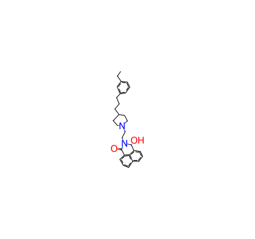 CCc1cccc(CCCC2CCN(CCN3C(=O)c4cccc5cccc(c45)C3O)CC2)c1